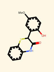 COc1ccc(O)c(C2Sc3ccccc3NC2=O)c1